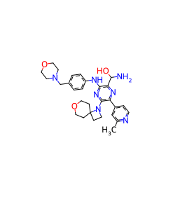 Cc1cc(-c2nc(C(N)O)c(Nc3ccc(CN4CCOCC4)cc3)nc2N2CCC23CCOCC3)ccn1